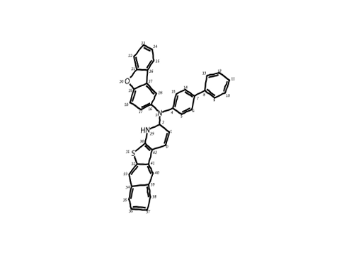 C1=CC(N(c2ccc(-c3ccccc3)cc2)c2ccc3oc4ccccc4c3c2)Nc2sc3cc4ccccc4cc3c21